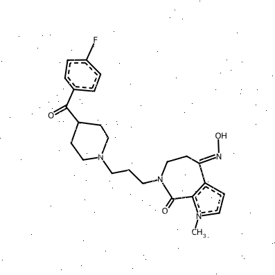 Cn1ccc2c1C(=O)N(CCCN1CCC(C(=O)c3ccc(F)cc3)CC1)CCC2=NO